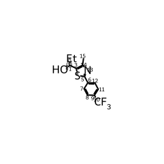 CC[C@H](O)c1sc(-c2ccc(C(F)(F)F)cc2)nc1C